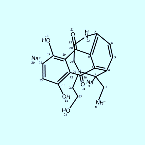 [NH-]C[C]1([Na])c2ccc(c3c2C(=O)c2c(O)ccc(O)c2C3=O)NCCN1CCO.[Na+]